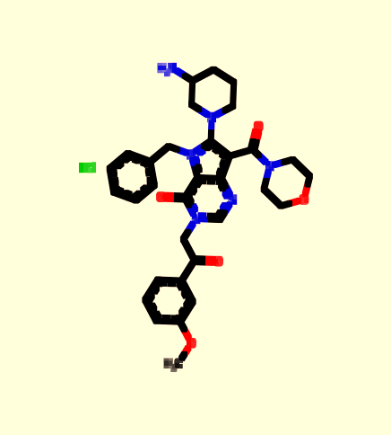 COc1cccc(C(=O)Cn2cnc3c(C(=O)N4CCOCC4)c(N4CCCC(N)C4)n(Cc4ccccc4)c3c2=O)c1.Cl